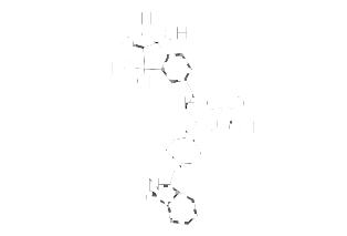 CC1(C)C(=O)C(C)(C)c2cc(CCCN3CCN(c4noc5ccccc45)CC3)ccc21.CS(=O)(=O)O